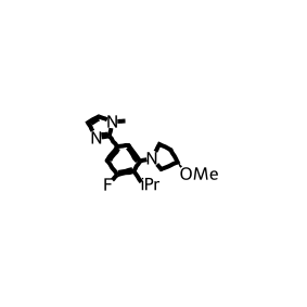 CO[C@H]1CCN(c2cc(-c3nccn3C)cc(F)c2C(C)C)C1